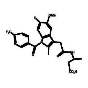 COc1cc2c(CC(=O)NC(C)CC(=O)O)c(C)n(C(=O)c3ccc(C(F)(F)F)cc3)c2cc1F